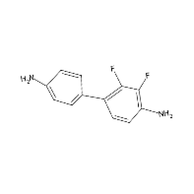 Nc1ccc(-c2ccc(N)c(F)c2F)cc1